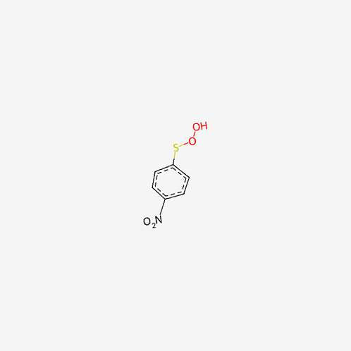 O=[N+]([O-])c1ccc(SOO)cc1